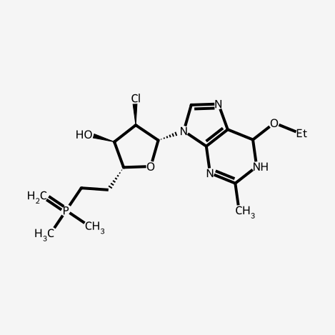 C=P(C)(C)CC[C@H]1O[C@@H](n2cnc3c2N=C(C)NC3OCC)[C@H](Cl)[C@@H]1O